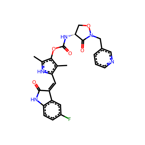 Cc1[nH]c(/C=C2\C(=O)Nc3ccc(F)cc32)c(C)c1OC(=O)N[C@@H]1CON(Cc2cccnc2)C1=O